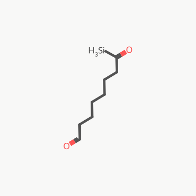 O=CCCCCCCC(=O)[SiH3]